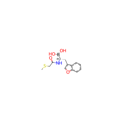 CSCC(=O)N[C@@H](Cc1coc2ccccc12)B(O)O